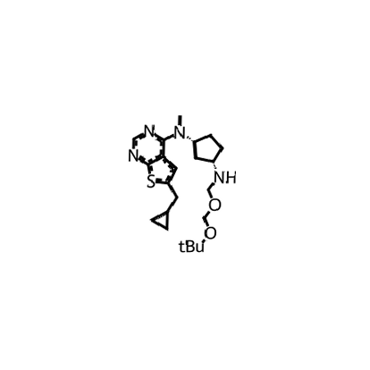 CN(c1ncnc2sc(CC3CC3)cc12)[C@@H]1CC[C@H](NCOCOC(C)(C)C)C1